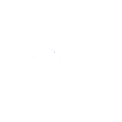 C=CN(OS(=O)(=O)c1ccc(C)cc1)C(=O)c1cc(C(=O)O)ccc1C